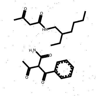 CC(=O)C(C(N)=O)C(=O)c1ccccc1.CCCCC(CC)CNC(=O)CC(C)=O